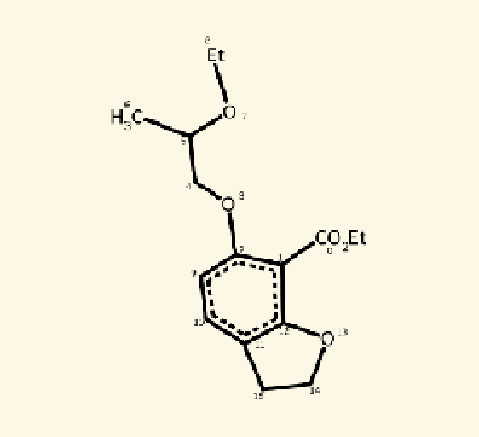 CCOC(=O)c1c(OCC(C)OCC)ccc2c1OCC2